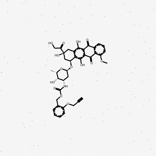 C#CCOc1ccccc1COC(=O)N[C@H]1C[C@H](O[C@H]2C[C@](O)(C(=O)CO)Cc3c(O)c4c(c(O)c32)C(=O)c2c(OC)cccc2C4=O)O[C@@H](C)[C@H]1O